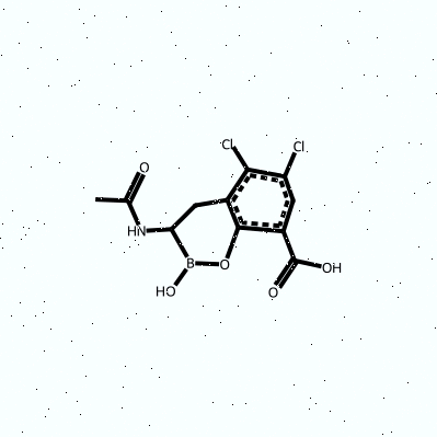 CC(=O)NC1Cc2c(Cl)c(Cl)cc(C(=O)O)c2OB1O